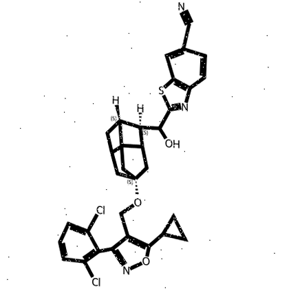 N#Cc1ccc2nc(C(O)[C@H]3C4CC5C[C@H]3C[C@](OCc3c(-c6c(Cl)cccc6Cl)noc3C3CC3)(C5)C4)sc2c1